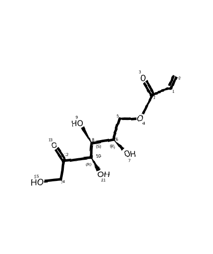 C=CC(=O)OC[C@@H](O)[C@H](O)[C@@H](O)C(=O)CO